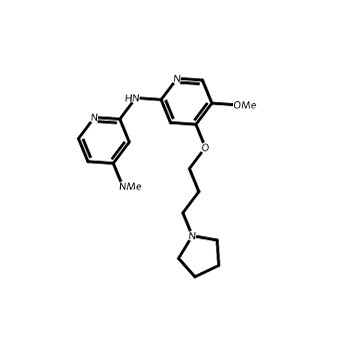 CNc1ccnc(Nc2cc(OCCCN3CCCC3)c(OC)cn2)c1